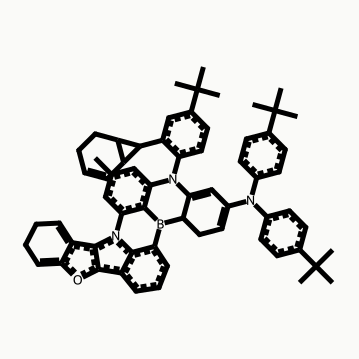 Cc1cc2c3c(c1)-n1c4c(cccc4c4oc5c(c41)=CCCC=5)B3C1CC=C(N(c3ccc(C(C)(C)C)cc3)c3ccc(C(C)(C)C)cc3)C=C1N2c1ccc(C(C)(C)C)cc1C1C2C=CCCC21